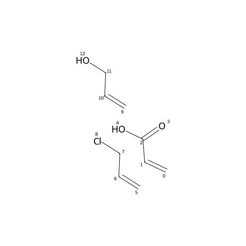 C=CC(=O)O.C=CCCl.C=CCO